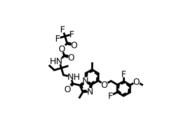 CCC(C)(CNC(=O)c1c(C)nc2c(OCc3c(F)ccc(OC)c3F)cc(C)cn12)NC(=O)OC(=O)C(F)(F)F